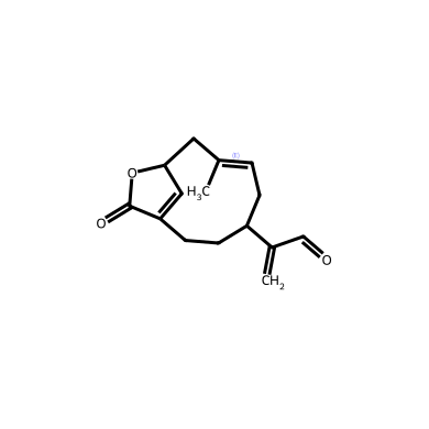 C=C(C=O)C1C/C=C(\C)CC2C=C(CC1)C(=O)O2